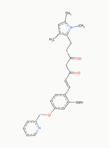 COc1cc(OCc2ccccn2)ccc1/C=C/C(=O)CC(=O)CCc1c(C)cc(C)n1C